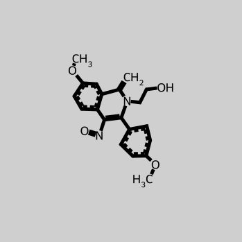 C=C1c2cc(OC)ccc2C(N=O)=C(c2ccc(OC)cc2)N1CCO